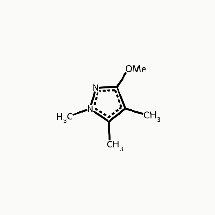 COc1nn(C)c(C)c1C